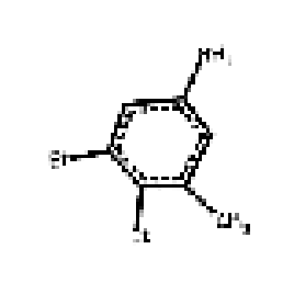 CCc1cc(N)cc(C)c1CC